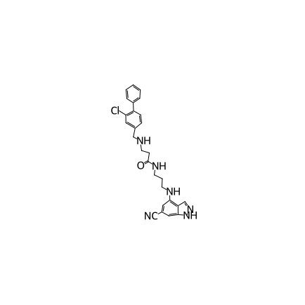 N#Cc1cc(NCCCNC(=O)CCNCc2ccc(-c3ccccc3)c(Cl)c2)c2cn[nH]c2c1